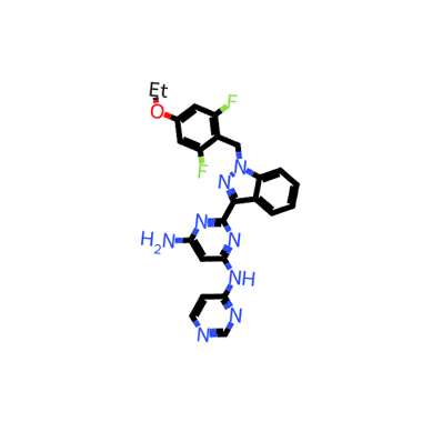 CCOc1cc(F)c(Cn2nc(-c3nc(N)cc(Nc4ccncn4)n3)c3ccccc32)c(F)c1